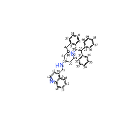 c1ccc(C[C@@H]2C[C@@H](NCc3ccnc4ccccc34)CCN2CC(c2ccccc2)c2ccccc2)cc1